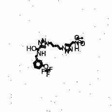 CS(=O)(=O)NCc1cn(CCCCn2cc(C(O)NCc3cccc(OC(F)(F)F)c3)nn2)nn1